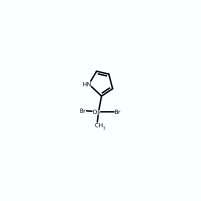 [CH3][Os]([Br])([Br])[c]1ccc[nH]1